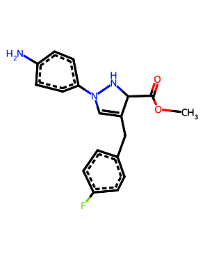 COC(=O)C1NN(c2ccc(N)cc2)C=C1Cc1ccc(F)cc1